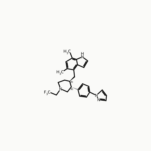 Cc1cc(C)c2[nH]ccc2c1C[C@@H]1CCN(CC(F)(F)F)C[C@H]1c1ccc(-n2cccn2)cc1